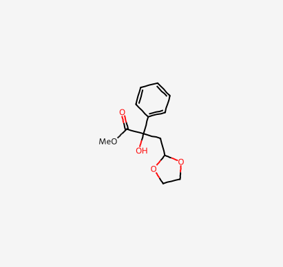 COC(=O)C(O)(CC1OCCO1)c1ccccc1